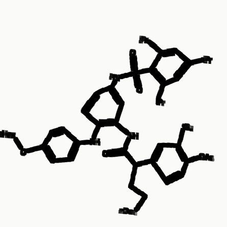 CCCCCCCCCCCCC(C(=O)Nc1cc(NS(=O)(=O)c2c(C(C)C)cc(C(C)C)cc2C(C)C)ccc1Nc1ccc(OCCCCCC)cc1)c1ccc(OC(C)=O)c(C(C)(C)C)c1